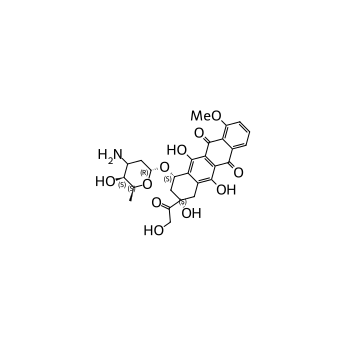 COc1cccc2c1C(=O)c1c(O)c3c(c(O)c1C2=O)C[C@@](O)(C(=O)CO)C[C@@H]3O[C@H]1CC(N)[C@H](O)[C@H](C)O1